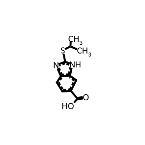 CC(C)Sc1nc2ccc(C(=O)O)cc2[nH]1